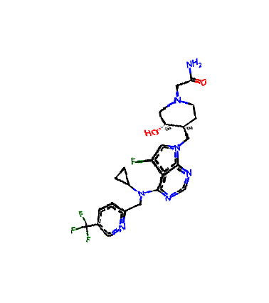 NC(=O)CN1CC[C@@H](Cn2cc(F)c3c(N(Cc4ccc(C(F)(F)F)cn4)C4CC4)ncnc32)[C@H](O)C1